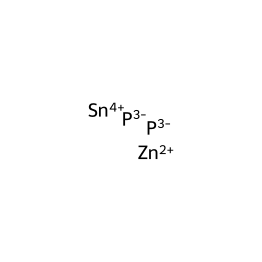 [P-3].[P-3].[Sn+4].[Zn+2]